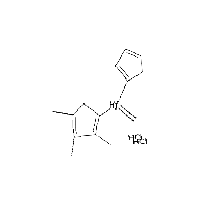 Cl.Cl.[CH2]=[Hf]([C]1=CC=CC1)[C]1=C(C)C(C)=C(C)C1